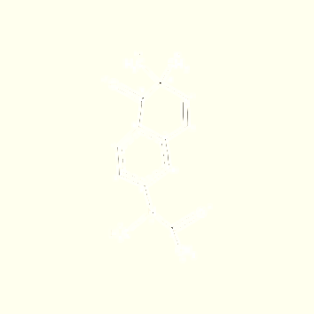 CC(=O)N(C)c1ccc2c(c1)C=CC(C)(C)C2=O